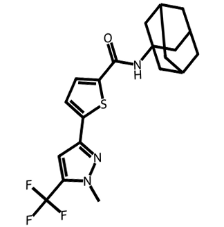 Cn1nc(-c2ccc(C(=O)NC34CC5CC(CC(C5)C3)C4)s2)cc1C(F)(F)F